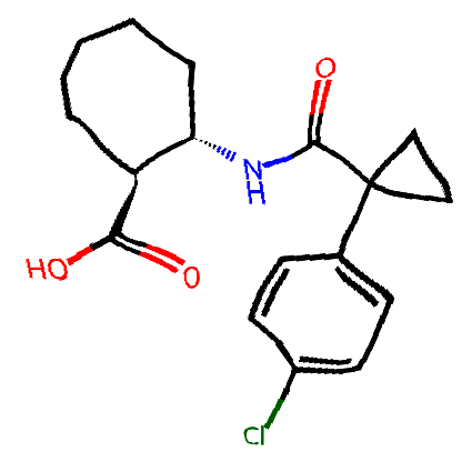 O=C(O)[C@H]1CCCC[C@@H]1NC(=O)C1(c2ccc(Cl)cc2)CC1